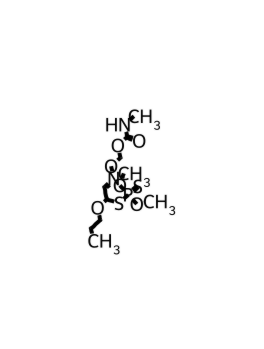 CCCOC(C=NOCOC(=O)NC)SP(=S)(OC)OC